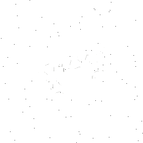 CNC(=O)CN(CC(=O)NC)C(=O)c1ccc(C(=O)Nc2ccc(C)c(Nc3ncccn3)c2)cc1